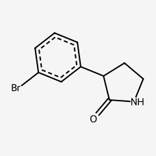 O=C1NCCC1c1cccc(Br)c1